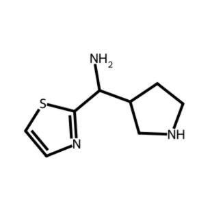 NC(c1nccs1)C1CCNC1